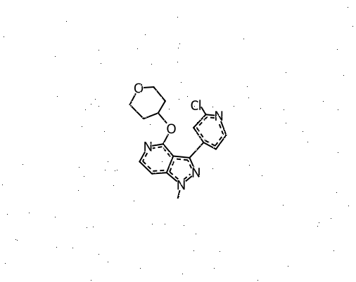 Cn1nc(-c2ccnc(Cl)c2)c2c(OC3CCOCC3)nccc21